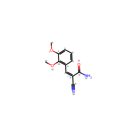 COc1cccc(/C=C(/C#N)C(N)=O)c1OC